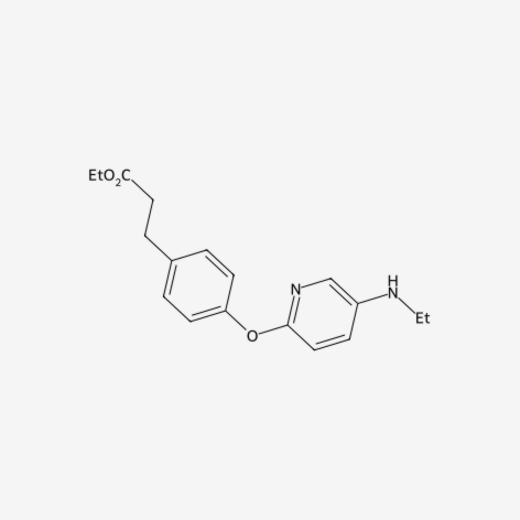 CCNc1ccc(Oc2ccc(CCC(=O)OCC)cc2)nc1